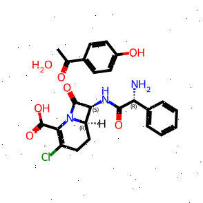 CC(=O)c1ccc(O)cc1.N[C@@H](C(=O)N[C@@H]1C(=O)N2C(C(=O)O)=C(Cl)CC[C@H]12)c1ccccc1.O